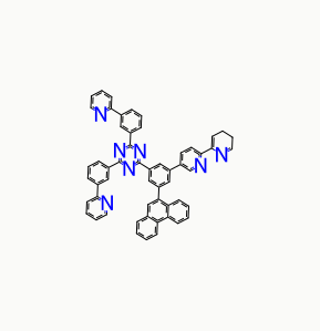 C1=NC(c2ccc(-c3cc(-c4nc(-c5cccc(-c6ccccn6)c5)nc(-c5cccc(-c6ccccn6)c5)n4)cc(-c4cc5ccccc5c5ccccc45)c3)cn2)=CCC1